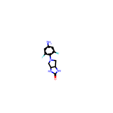 Nc1cc(F)c(N2CC3NC(=O)NC3C2)c(F)c1